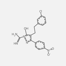 N=C(N)n1nc(-c2ccc([N+](=O)[O-])cc2)c(CCc2cccc(Cl)c2)c1O